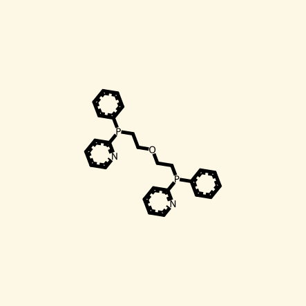 c1ccc(P(CCOCCP(c2ccccc2)c2ccccn2)c2ccccn2)cc1